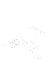 CC(=N)NC1CCC(C(=O)N2CCN(S(=O)(=O)c3ccc4cc(Cl)ccc4c3)CC2C(=O)N2CCSCC2)CC1.Cl